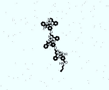 C#CCCCNC(=O)c1ccc(C2(O)N=C3N=C(COc4ccc(C5(c6[nH]c7ccccc7c6C)N=C6N=C(COc7ccc(C8(c9cn(C)c%10ccccc9%10)N=C9N=CC=C%10c%11ccccc%11N=C8N%109)cc7)C=C7c8ccccc8N=C5N76)cc4)C=C4c5ccccc5N=C2N43)cc1